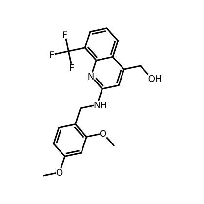 COc1ccc(CNc2cc(CO)c3cccc(C(F)(F)F)c3n2)c(OC)c1